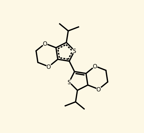 CC(C)c1sc(C2=C3OCCOC3C(C(C)C)S2)c2c1OCCO2